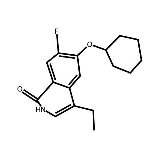 CCc1c[nH]c(=O)c2cc(F)c(OC3CCCCC3)cc12